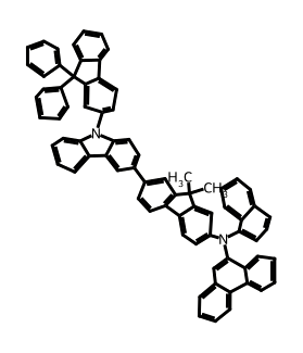 CC1(C)c2cc(-c3ccc4c(c3)c3ccccc3n4-c3ccc4c(c3)C(c3ccccc3)(c3ccccc3)c3ccccc3-4)ccc2-c2ccc(N(c3cccc4ccccc34)c3cc4ccccc4c4ccccc34)cc21